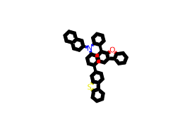 c1ccc(N(c2ccc(-c3ccc4c(c3)sc3ccccc34)cc2)c2ccc3ccccc3c2)c(-c2cccc3c2oc2ccccc23)c1